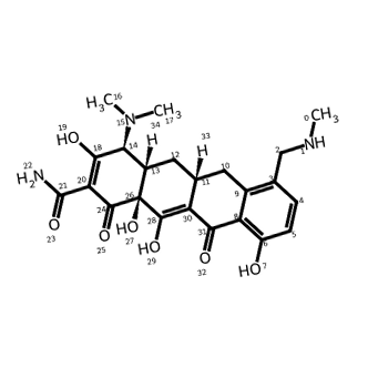 CNCc1ccc(O)c2c1C[C@H]1C[C@H]3[C@H](N(C)C)C(O)=C(C(N)=O)C(=O)[C@@]3(O)C(O)=C1C2=O